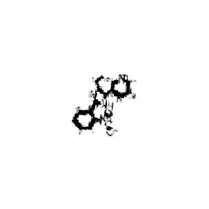 CCc1nc(-c2ccccc2[N+](=O)[O-])[nH]c1-c1cccnc1